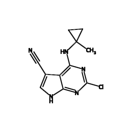 CC1(Nc2nc(Cl)nc3[nH]cc(C#N)c23)CC1